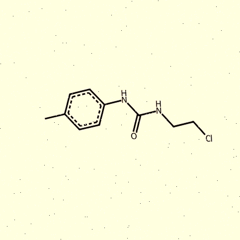 Cc1ccc(NC(=O)NCCCl)cc1